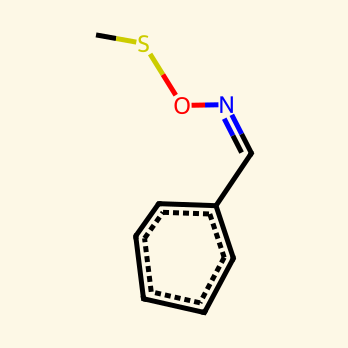 CSO/N=C\c1ccccc1